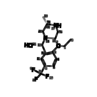 CCOc1ccc(C(F)(F)F)cc1CN1CCN[C@@H](C)C1.Cl